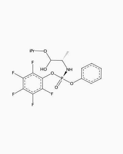 CC(C)OC(O)[C@H](C)N[P@](=O)(Oc1ccccc1)Oc1c(F)c(F)c(F)c(F)c1F